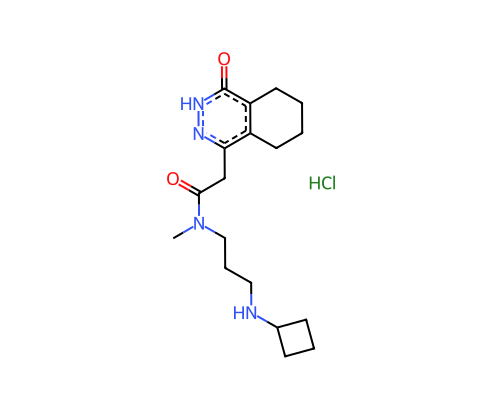 CN(CCCNC1CCC1)C(=O)Cc1n[nH]c(=O)c2c1CCCC2.Cl